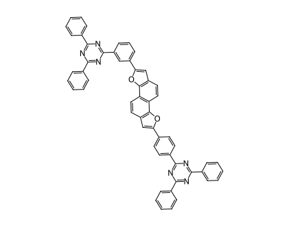 c1ccc(-c2nc(-c3ccccc3)nc(-c3ccc(-c4cc5ccc6c(ccc7cc(-c8cccc(-c9nc(-c%10ccccc%10)nc(-c%10ccccc%10)n9)c8)oc76)c5o4)cc3)n2)cc1